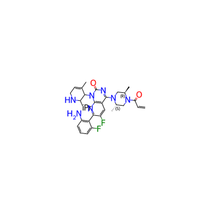 C=CC(=O)N1C[C@H](C)N(c2nc(=O)n(C3C(C)=CCNC3C(C)C)c3nc(-c4c(N)cccc4F)c(F)cc23)C[C@H]1C